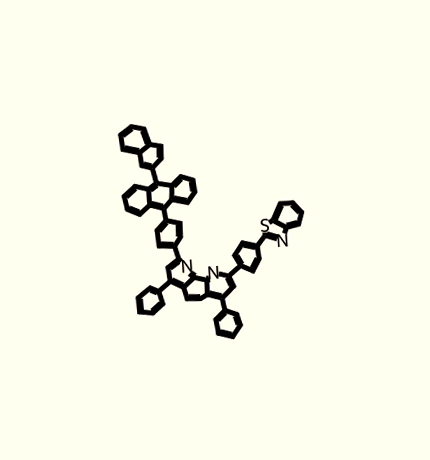 c1ccc(-c2cc(-c3ccc(-c4nc5ccccc5s4)cc3)nc3c2ccc2c(-c4ccccc4)cc(-c4ccc(-c5c6ccccc6c(-c6ccc7ccccc7c6)c6ccccc56)cc4)nc23)cc1